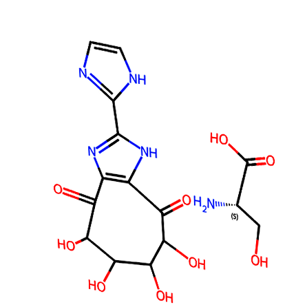 N[C@@H](CO)C(=O)O.O=C1c2nc(-c3ncc[nH]3)[nH]c2C(=O)C(O)C(O)C(O)C1O